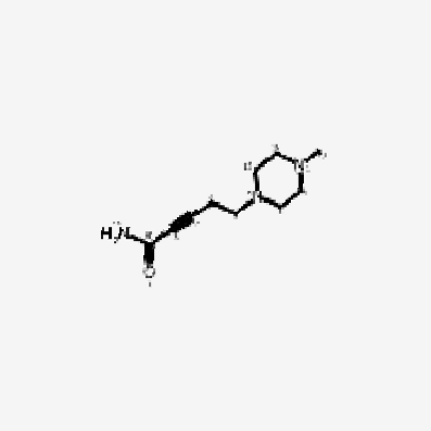 CN1CCN(CCC#CC(N)=O)CC1